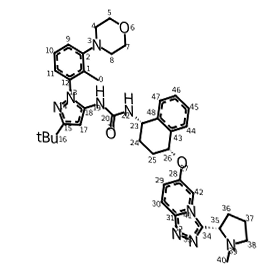 Cc1c(N2CCOCC2)cccc1-n1nc(C(C)(C)C)cc1NC(=O)N[C@H]1CC[C@@H](Oc2ccc3nnc([C@@H]4CCCN4C)n3c2)c2ccccc21